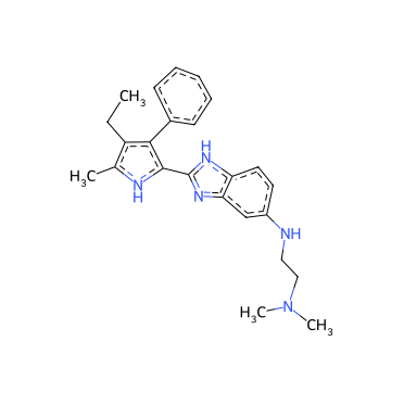 CCc1c(C)[nH]c(-c2nc3cc(NCCN(C)C)ccc3[nH]2)c1-c1ccccc1